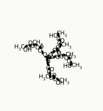 CC(O)COC(=O)OC(C)COC(=O)OCCOCC(COCCOC(=O)OCC(C)OC(=O)OCC(C)O)(COCCOC(=O)OCC(C)OC(=O)OCC(C)O)COCCOC(=O)OCC(C)OC(=O)OCC(C)O